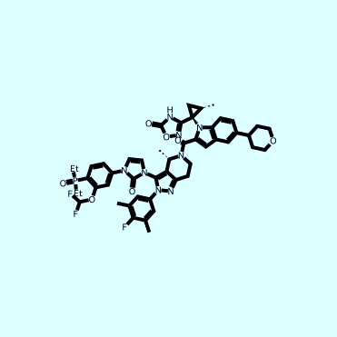 CCP(=O)(CC)c1ccc(-n2ccn(-c3c4c(nn3-c3cc(C)c(F)c(C)c3)CCN(C(=O)c3cc5cc(C6CCOCC6)ccc5n3[C@@]3(c5noc(=O)[nH]5)C[C@@H]3C)[C@H]4C)c2=O)cc1OC(F)F